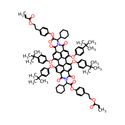 C=CC(=O)OCCc1ccc(OC(=O)C(C2CCCCC2)N2C(=O)c3cc(Oc4ccc(C(C)(C)C)cc4)c4c5c(Oc6ccc(C(C)(C)C)cc6)cc6c7c(cc(Oc8ccc(C(C)(C)C)cc8)c(c8c(Oc9ccc(C(C)(C)C)cc9)cc(c3c48)C2=O)c75)C(=O)N(C(C(=O)Oc2ccc(CCOC(=O)C=C)cc2)C2CCCCC2)C6=O)cc1